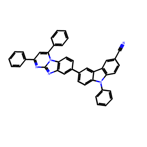 N#Cc1ccc2c(c1)c1cc(-c3ccc4c(c3)nc3nc(-c5ccccc5)cc(-c5ccccc5)n34)ccc1n2-c1ccccc1